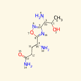 CC(O)[C@@H](N)c1noc([C@H](N)CCC(N)=O)n1